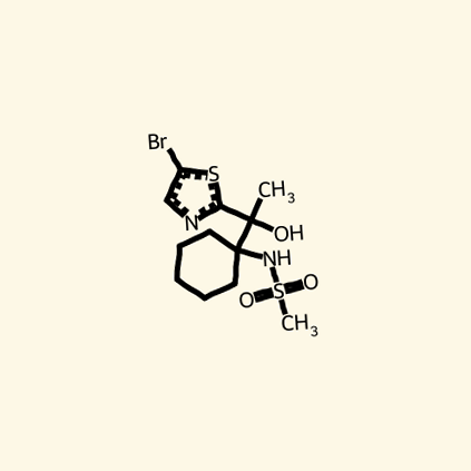 CC(O)(c1ncc(Br)s1)C1(NS(C)(=O)=O)CCCCC1